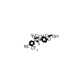 CC1(C)C(=O)N(c2ccc(C#N)c(C(F)(F)F)c2)C(=S)N1c1ccc2c(c1)OC(CO)O2